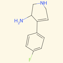 NC1CNCC=C1c1ccc(F)cc1